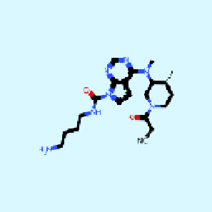 C[C@@H]1CCN(C(=O)CC#N)CC1N(C)c1ncnc2c1ccn2C(=O)NCCCCN